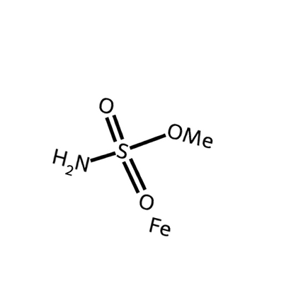 COS(N)(=O)=O.[Fe]